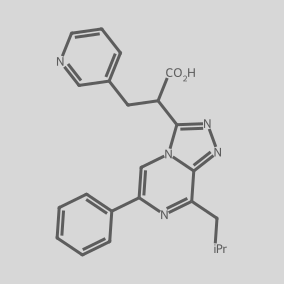 CC(C)Cc1nc(-c2ccccc2)cn2c(C(Cc3cccnc3)C(=O)O)nnc12